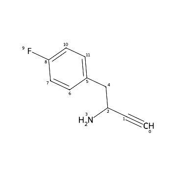 C#CC(N)Cc1ccc(F)cc1